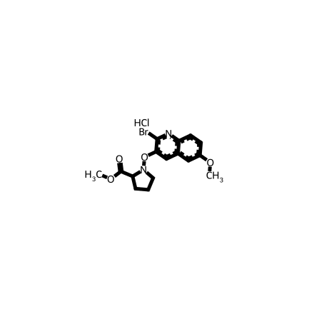 COC(=O)C1CCCN1Oc1cc2cc(OC)ccc2nc1Br.Cl